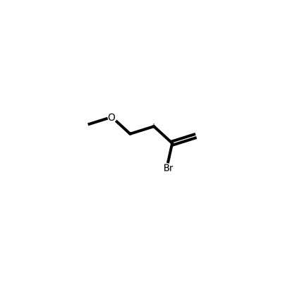 C=C(Br)[CH]COC